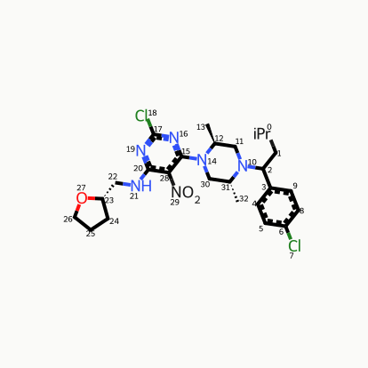 CC(C)CC(c1ccc(Cl)cc1)N1C[C@H](C)N(c2nc(Cl)nc(NC[C@@H]3CCCO3)c2[N+](=O)[O-])C[C@H]1C